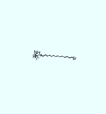 C1CC1.CCCCCCCCCCCCCCCCBr.N